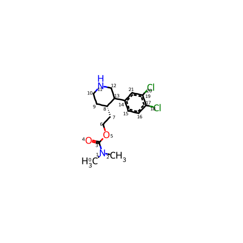 CN(C)C(=O)OCC[C@@H]1CCNCC1c1ccc(Cl)c(Cl)c1